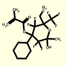 C=C(C)C(=O)OC1(C2CCCCC2)C(F)(F)C(C)(O)OC(CC)(C(F)(F)F)C1(F)F